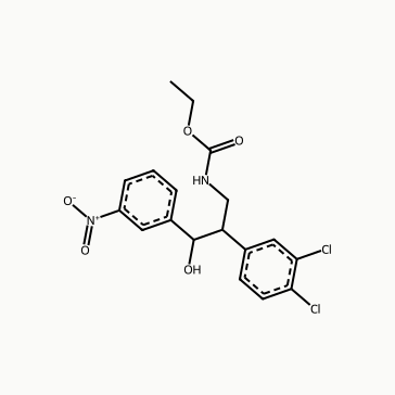 CCOC(=O)NCC(c1ccc(Cl)c(Cl)c1)C(O)c1cccc([N+](=O)[O-])c1